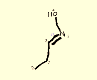 [CH2]C/C=N/O